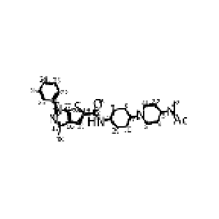 CC(=O)N(C)C1CCN(C2CCC(NC(=O)c3cc4c(C)nn(-c5ccccc5)c4s3)CC2)CC1